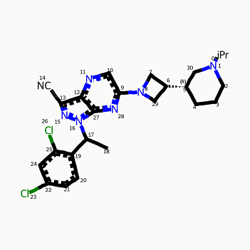 CC(C)N1CCC[C@H](C2CN(c3cnc4c(C#N)nn(C(C)c5ccc(Cl)cc5Cl)c4n3)C2)C1